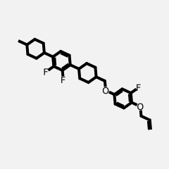 C=CCOc1ccc(OCC2CCC(c3ccc(C4CCC(C)CC4)c(F)c3F)CC2)cc1F